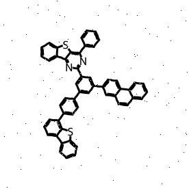 c1ccc(-c2nc(-c3cc(-c4ccc(-c5cccc6c5sc5ccccc56)cc4)cc(-c4ccc5c(ccc6ccccc65)c4)c3)nc3c2sc2ccccc23)cc1